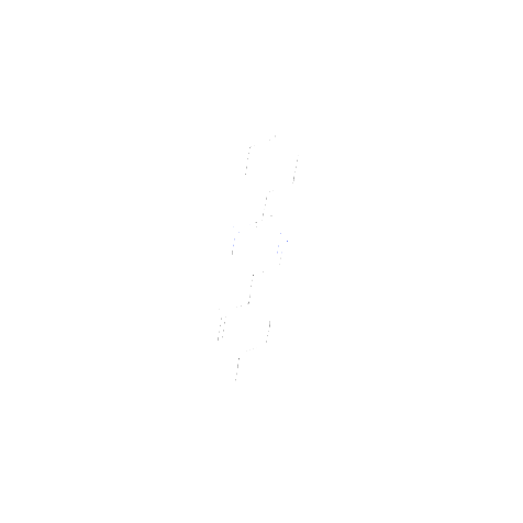 CCCCCCCCCCc1ccc(-c2cnc(C3CCCCC3)nc2)cc1